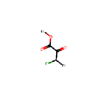 CCOC(=O)C(=O)C(Cl)CC